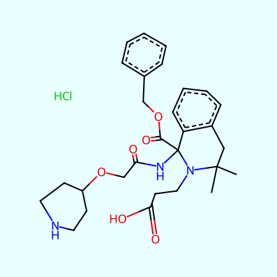 CC1(C)Cc2ccccc2C(NC(=O)COC2CCNCC2)(C(=O)OCc2ccccc2)N1CCC(=O)O.Cl